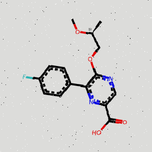 CO[C@@H](C)COc1ncc(C(=O)O)nc1-c1ccc(F)cc1